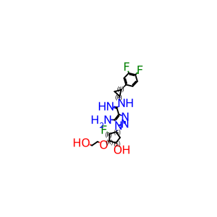 N=C(N[C@@H]1C[C@H]1c1ccc(F)c(F)c1)c1nnn([C@H]2C[C@H](O)[C@@H](OCCO)[C@@H]2F)c1N